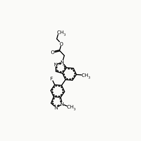 CCOC(=O)Cn1ncc2c(-c3cc4c(cnn4C)cc3F)cc(C)cc21